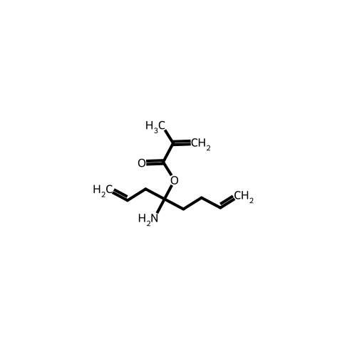 C=CCCC(N)(CC=C)OC(=O)C(=C)C